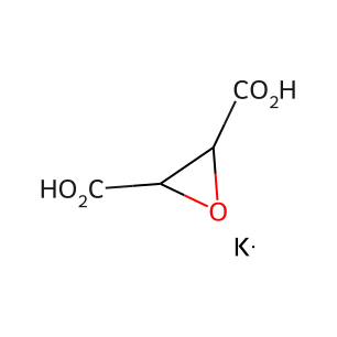 O=C(O)C1OC1C(=O)O.[K]